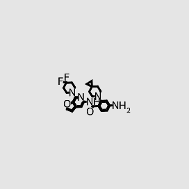 Nc1ccc(C(=O)Nc2cc3ccoc3c(N3CCC(F)(F)CC3)n2)c(N2CCC3(CC2)CC3)c1